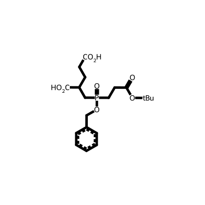 CC(C)(C)OC(=O)CCP(=O)(CC(CCC(=O)O)C(=O)O)OCc1ccccc1